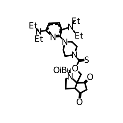 CCN(CC)c1ccc(N(CC)CC)c(N2CCN(C(=S)OCC34C(=O)CC(=O)C3CCN4OCC(C)C)CC2)n1